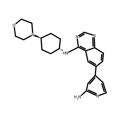 Nc1cc(-c2ccc3ncnc(N[C@H]4CC[C@H](N5CCOCC5)CC4)c3c2)ccn1